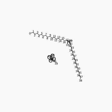 CCCCCCCCCCCCCCCCCC[N+](C)(C)CCCCCCCCCCCCCCCCCC.CCOS(=O)(=O)[O-]